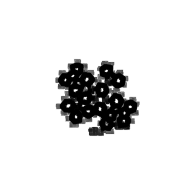 CC(C)(C)c1cc(-c2ccc3c(c2)N(c2cccc4c2-c2ccccc2C42c4ccccc4-c4ccccc42)c2cc(-n4c5ccccc5c5ccccc54)cc4c2B3c2cc3c(cc2N4c2cccc4c2-c2ccccc2C42c4ccccc4-c4ccccc42)Oc2ccccc2[Si]3(c2ccccc2)c2ccccc2)cc(C(C)(C)C)c1